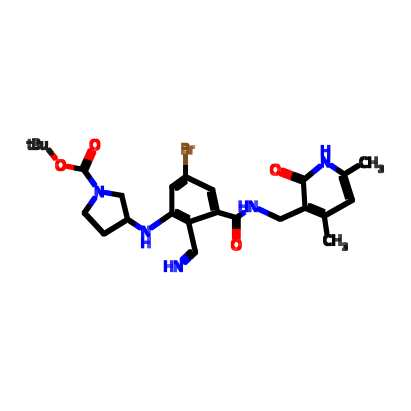 Cc1cc(C)c(CNC(=O)c2cc(Br)cc(NC3CCN(C(=O)OC(C)(C)C)C3)c2C=N)c(=O)[nH]1